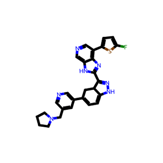 Fc1ccc(-c2cncc3[nH]c(C4=NNC5=CC=C(c6cncc(CN7CCCC7)c6)CC54)nc23)s1